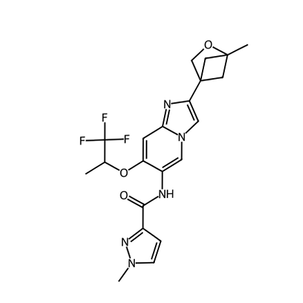 CC(Oc1cc2nc(C34COC(C)(C3)C4)cn2cc1NC(=O)c1ccn(C)n1)C(F)(F)F